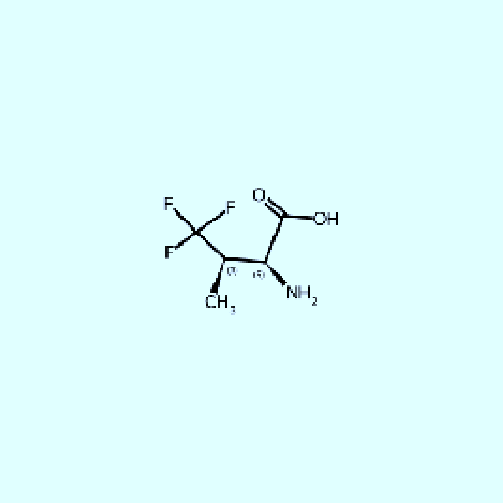 C[C@H]([C@H](N)C(=O)O)C(F)(F)F